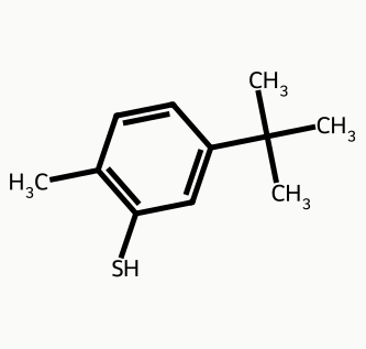 Cc1ccc(C(C)(C)C)cc1S